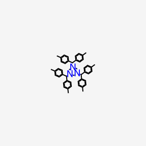 Cc1ccc(C(c2ccc(C)cc2)N2CN(C(c3ccc(C)cc3)c3ccc(C)cc3)CN(C(c3ccc(C)cc3)c3ccc(C)cc3)C2)cc1